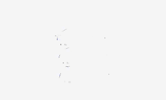 CCCCC/C=C\C/C=C\CCCCCCCC(=O)[O-].CCCCC/C=C\C/C=C\CCCCCCCC(=O)[O-].CCCCC/C=C\C/C=C\CCCCCCCC(=O)[O-].[Fe+3]